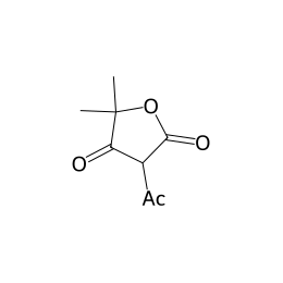 CC(=O)C1C(=O)OC(C)(C)C1=O